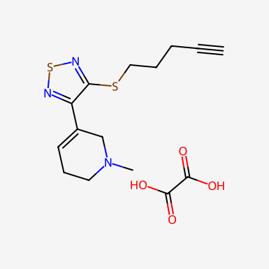 C#CCCCSc1nsnc1C1=CCCN(C)C1.O=C(O)C(=O)O